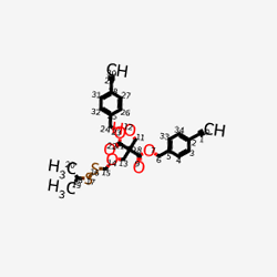 C#Cc1ccc(COC(=O)C(CO)(COCSSC(C)C)C(=O)OCc2ccc(C#C)cc2)cc1